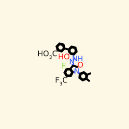 Cc1ccc(N2C(=O)/C(=N\Nc3cccc(-c4cccc(C(=O)O)c4)c3O)c3c(F)cc(C(F)(F)F)cc32)cc1C